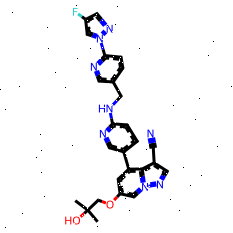 CC(C)(O)COc1cc(-c2ccc(NCc3ccc(-n4cc(F)cn4)nc3)nc2)c2c(C#N)cnn2c1